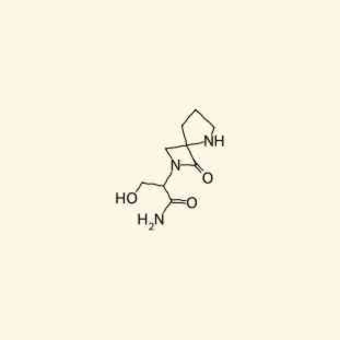 NC(=O)C(CO)N1CC2(CCCN2)C1=O